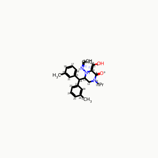 C/C=N\N1/C(=C(/O)C=O)C(=O)N(C(C)C)CC1C(c1cccc(C)c1)c1cccc(C)c1